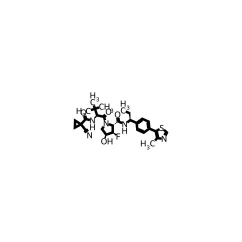 CC[C@H](NC(=O)[C@@H]1[C@@H](F)[C@@H](O)CN1C(=O)[C@@H](NC(=O)C1(C#N)CC1)C(C)(C)C)c1ccc(-c2scnc2C)cc1